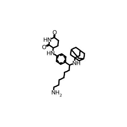 NCCCCCCC(NC12CC3CC(CC(C3)C1)C2)c1ccc(NC2CCC(=O)NC2=O)cc1